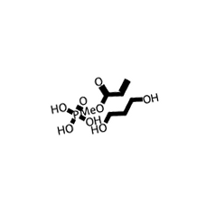 C=CC(=O)OC.O=P(O)(O)O.OCCCO